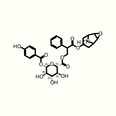 CN1C2CC(OC(=O)C(COC(=O)[C@H]3O[C@@H](OC(=O)c4ccc(O)cc4)[C@H](O)[C@@H](O)[C@@H]3O)c3ccccc3)CC1C1OC12